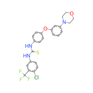 FC(F)(F)c1cc(NC(=S)Nc2ccc(Oc3cccc(N4CCOCC4)c3)cc2)ccc1Cl